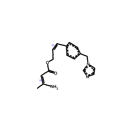 C/C(N)=C/C(=O)OC/C=C\c1ccc(Cn2ccnc2)cc1